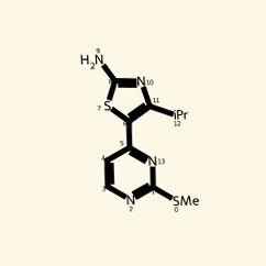 CSc1nccc(-c2sc(N)nc2C(C)C)n1